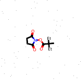 CCC(C)(CC)C(=O)ON1C(=O)CCC1=O